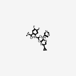 CN(C)C(=O)c1cc(F)c(F)cc1NC(=O)Oc1nc(C2CC2)cnc1Nc1cncnc1